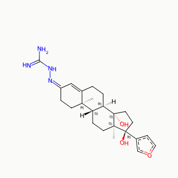 C[C@]12CC[C@H]3[C@@H](CCC4=CC(=NNC(=N)N)CC[C@@]43C)[C@@]1(O)CC[C@]2(O)c1ccoc1